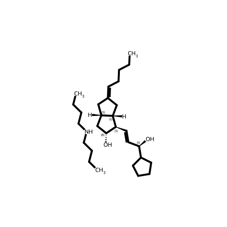 CCCCC=C1C[C@H]2C[C@@H](O)[C@H](C=C[C@@H](O)C3CCCC3)[C@H]2C1.CCCCNCCCC